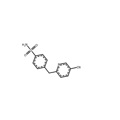 N#Cc1ccc(Cc2ccc(S(N)(=O)=O)cc2)nc1